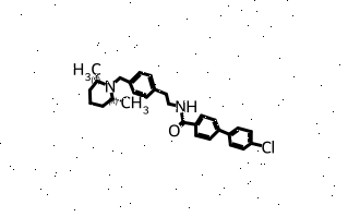 C[C@@H]1CCC[C@H](C)N1Cc1ccc(CCNC(=O)c2ccc(-c3ccc(Cl)cc3)cc2)cc1